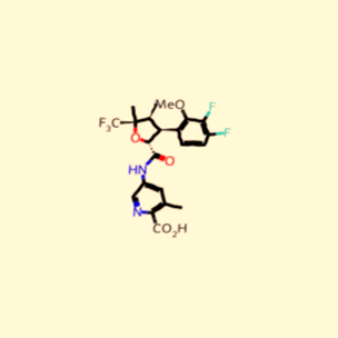 COc1c([C@H]2[C@H](C(=O)Nc3cnc(C(=O)O)c(C)c3)O[C@@](C)(C(F)(F)F)[C@H]2C)ccc(F)c1F